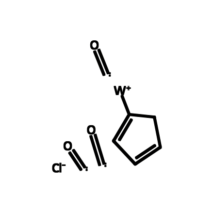 [C]=O.[C]=O.[C]=O.[Cl-].[W+][C]1=CC=CC1